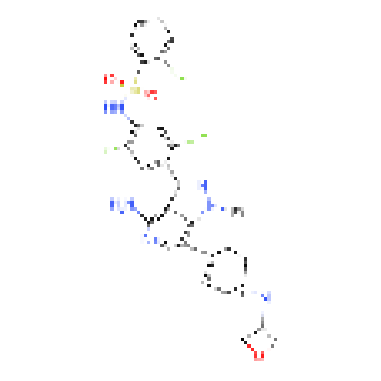 CCn1nc(-c2cc(F)c(NS(=O)(=O)c3ccccc3F)cc2F)c2c(N)ncc(C3=CC[C@@H](NC4COC4)CC3)c21